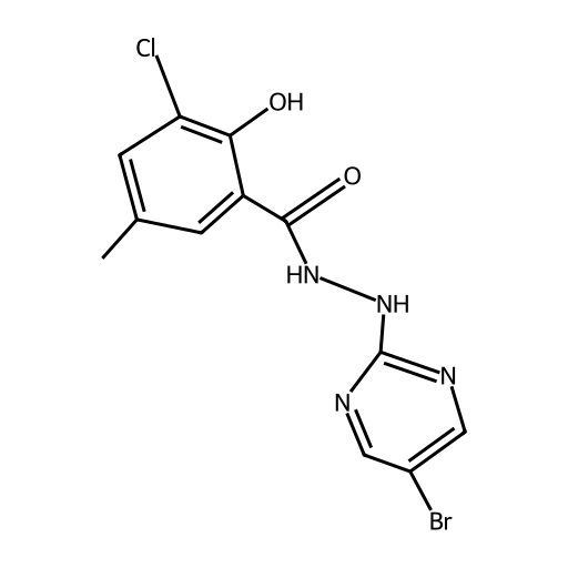 Cc1cc(Cl)c(O)c(C(=O)NNc2ncc(Br)cn2)c1